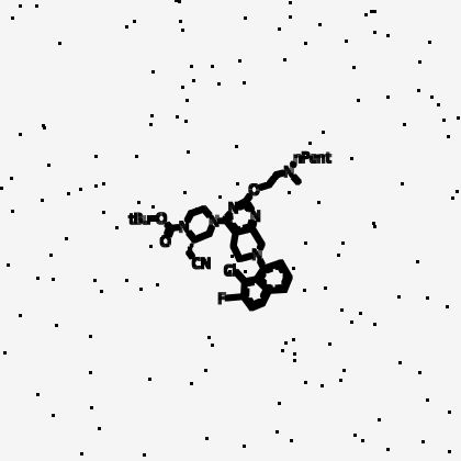 CCCCCN(C)CCOc1nc2c(c(N3CCN(C(=O)OC(C)(C)C)[C@@H](CC#N)C3)n1)CCN(c1cccc3ccc(F)c(Cl)c13)C2